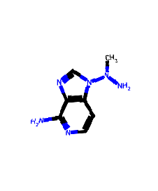 CN(N)n1cnc2c(N)nccc21